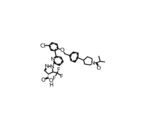 CC(C)C(=O)N1CCC(c2ccc(COc3ccc(Cl)cc3-c3cccc(N4N=C[C@@H](C(=O)O)C4C(F)(F)F)n3)cc2)CC1